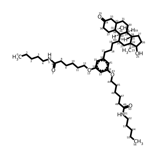 CCCCCNC(=O)CCCCCOc1cc(CCCC2C[C@]3(C)C(O)CC[C@H]3[C@@H]3CCC4CC(=O)CC[C@]4(C)[C@H]23)cc(OCCCCCC(=O)NCCCCC)c1